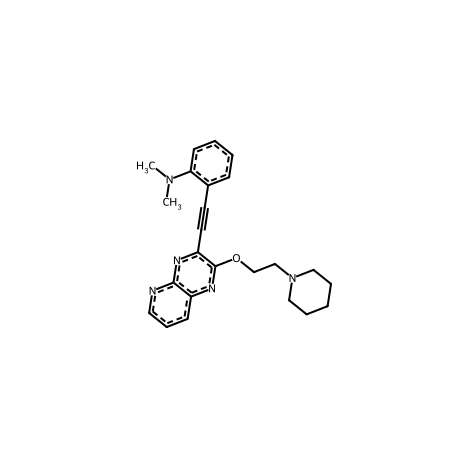 CN(C)c1ccccc1C#Cc1nc2ncccc2nc1OCCN1CCCCC1